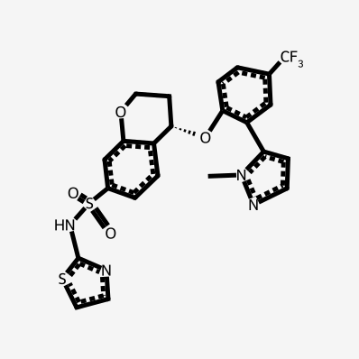 Cn1nccc1-c1cc(C(F)(F)F)ccc1O[C@H]1CCOc2cc(S(=O)(=O)Nc3nccs3)ccc21